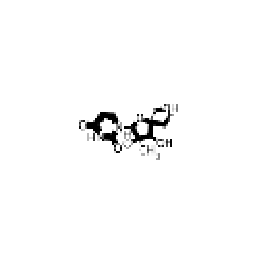 C[C@@]1(O)[C@H](O)[C@](CO)(CF)O[C@H]1n1ccc(=O)[nH]c1=O